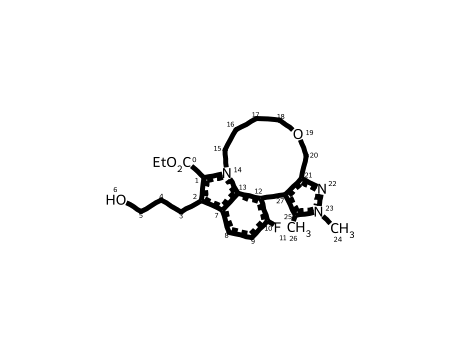 CCOC(=O)c1c(CCCO)c2ccc(F)c3c2n1CCCCOCc1nn(C)c(C)c1-3